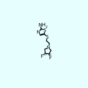 Nc1ncc(SCCN2C[C@@H](F)[C@@H](F)C2)s1